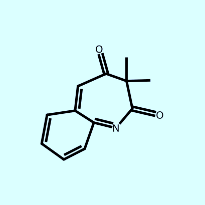 CC1(C)C(=O)C=c2ccccc2=NC1=O